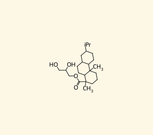 CC(C)C1CCC2C(CCC3C(C)(C(=O)OCC(O)CO)CCCC23C)C1